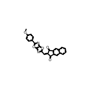 COc1ccc(-c2nc3oc(C=C4C(=O)c5cc6ccccc6cc5C4=O)nc3o2)cc1